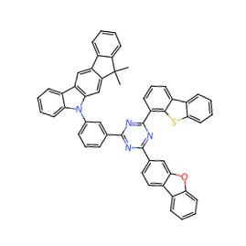 CC1(C)c2ccccc2-c2cc3c4ccccc4n(-c4cccc(-c5nc(-c6ccc7c(c6)oc6ccccc67)nc(-c6cccc7c6sc6ccccc67)n5)c4)c3cc21